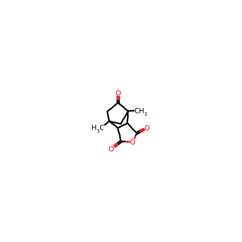 CC12CC(=O)C(C)(C1)C1C(=O)OC(=O)C12